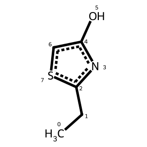 CCc1nc(O)cs1